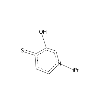 CC(C)n1ccc(=S)c(O)c1